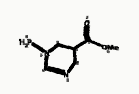 COC(=O)C1CN=CN(P)C1